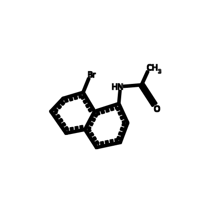 CC(=O)Nc1cccc2cccc(Br)c12